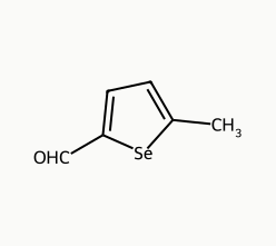 Cc1ccc(C=O)[se]1